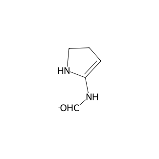 O=[C]NC1=CCCN1